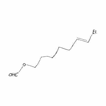 CCC=CCCCCCOC=O